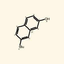 CC(C)(C)c1ccc2ccc(O)cc2c1